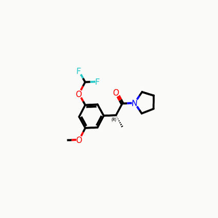 COc1cc(OC(F)F)cc([C@@H](C)C(=O)N2CCCC2)c1